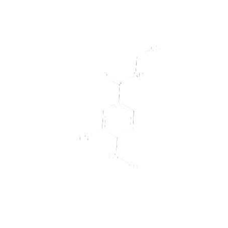 CCNC(=O)c1ccc(NC)c(N)c1